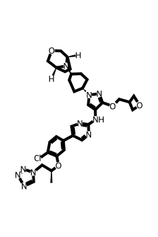 C[C@@H](Cn1cnnn1)Oc1cc(-c2cnc(Nc3cn([C@H]4CC[C@H](N5[C@@H]6CC[C@H]5COC6)CC4)nc3OCC3COC3)nc2)ccc1Cl